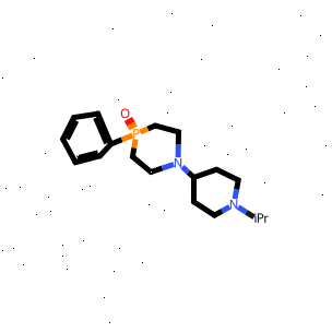 CC(C)N1CCC(N2CCP(=O)(c3ccccc3)CC2)CC1